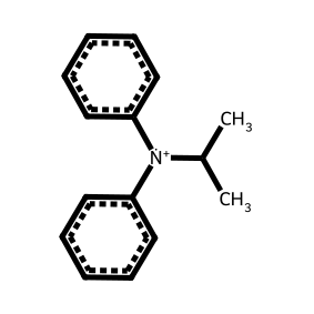 CC(C)[N+](c1ccccc1)c1ccccc1